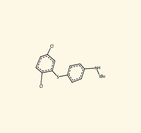 CC(C)(C)Nc1ccc(Sc2cc(Cl)ccc2Cl)cc1